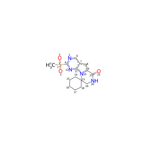 CS(=O)(=O)c1ncc2cc3n(c2n1)C1(CCCCC1)CNC3=O